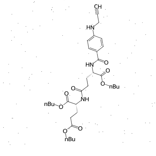 C#CCNc1ccc(C(=O)N[C@@H](CCC(=O)N[C@H](CCC(=O)OCCCC)C(=O)OCCCC)C(=O)OCCCC)cc1